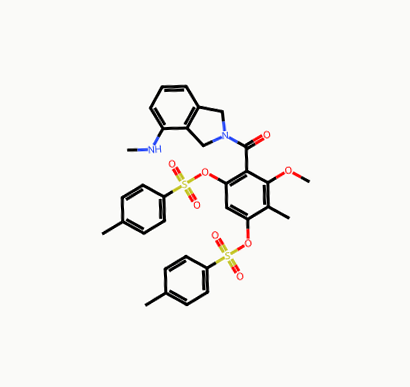 CNc1cccc2c1CN(C(=O)c1c(OS(=O)(=O)c3ccc(C)cc3)cc(OS(=O)(=O)c3ccc(C)cc3)c(C)c1OC)C2